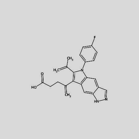 C=C(CCC(=O)O)c1c(C(=C)C)n(-c2ccc(F)cc2)c2cc3cn[nH]c3cc12